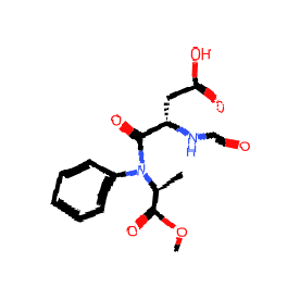 COC(=O)[C@H](C)N(C(=O)[C@H](CC(=O)O)NC=O)c1ccccc1